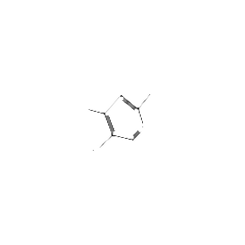 CCc1cc(O)ncc1[N+](=O)[O-]